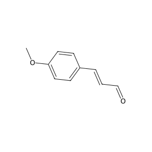 COc1ccc(/C=C/C=O)cc1